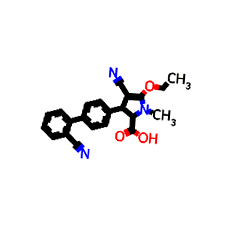 CCOC1=C(C#N)C(c2ccc(-c3ccccc3C#N)cc2)C(C(=O)O)N1C